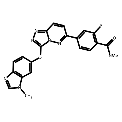 CNC(=O)c1ccc(-c2ccc3nnc(Sc4ccc5ncn(C)c5c4)n3n2)cc1F